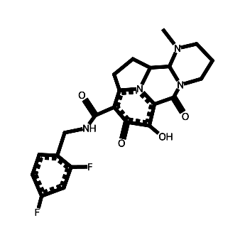 CN1CCCN2C(=O)c3c(O)c(=O)c(C(=O)NCc4ccc(F)cc4F)c4n3C(CC4)C12